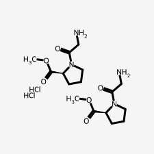 COC(=O)[C@@H]1CCCN1C(=O)CN.COC(=O)[C@@H]1CCCN1C(=O)CN.Cl.Cl